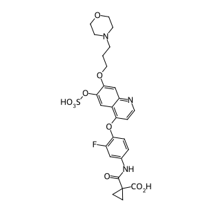 O=C(O)C1(C(=O)Nc2ccc(Oc3ccnc4cc(OCCCN5CCOCC5)c(OS(=O)(=O)O)cc34)c(F)c2)CC1